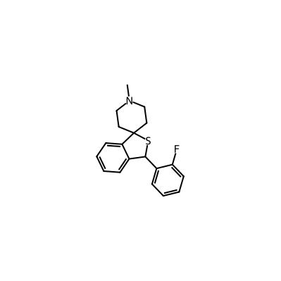 CN1CCC2(CC1)SC(c1ccccc1F)c1ccccc12